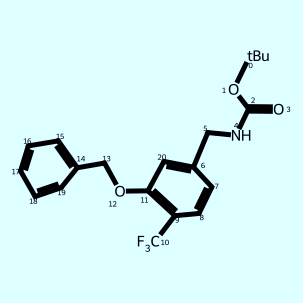 CC(C)(C)OC(=O)NCc1ccc(C(F)(F)F)c(OCc2ccccc2)c1